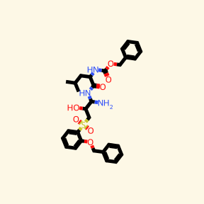 CC(C)CC(NC(=O)OCc1ccccc1)C(=O)NC(N)C(O)CS(=O)(=O)c1ccccc1OCc1ccccc1